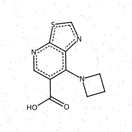 O=C(O)c1cnc2scnc2c1N1CCC1